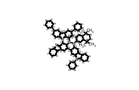 Cc1cc2c(cc1N1B3c4c(cc5c(sc6ccccc65)c4-n4c5ccc(-c6ccccc6)cc5c5cc(-c6ccccc6)cc3c54)-c3cc4c(cc31)c1ccccc1n4-c1ccccc1)C(C)(C)CCC2(C)C